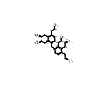 C=CCc1ccc(Cc2ccc(CC=C)c(CC=C)c2CC=C)c(CC=C)c1CC=C